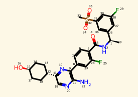 C[C@@H](NC(=O)c1ccc(-c2nc([C@H]3CC[C@H](O)CC3)cnc2N)cc1F)c1cc(F)cc(S(C)(=O)=O)c1